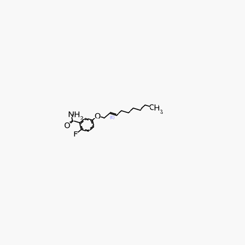 CCCCCC/C=C/COc1ccc(F)c(C(N)=O)c1